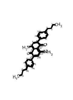 CCCCc1ccc(C2=CC(N)=C3C(=O)C(c4ccc(CCCC)cc4)=CC(N)=C3C2=O)cc1